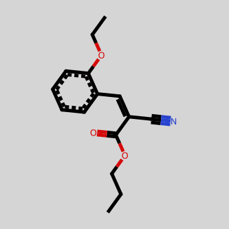 CCCOC(=O)C(C#N)=Cc1ccccc1OCC